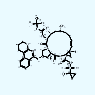 CC[C@@H]1C[C@H](C)CC/C=C\[C@@H]2C[C@@]2(C(=O)NS(=O)(=O)C2(C)CC2)NC(=O)[C@@H]2C[C@@H](Oc3nc4c(c5ccccc35)CCCO4)CN2C(=O)[C@H]1NC(=O)OC(C)(C)C(F)(F)F